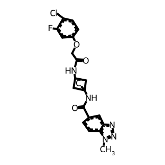 Cn1nnc2cc(C(=O)NC34CC(NC(=O)COc5ccc(Cl)c(F)c5)(C3)C4)ccc21